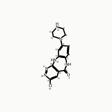 O=C1Nc2ccc(N3CCNCC3)cc2Nc2nnc(Cl)cc21